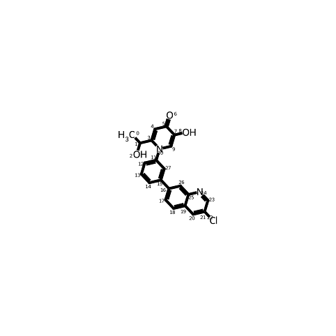 CC(O)c1cc(=O)c(O)cn1-c1cccc(-c2ccc3cc(Cl)cnc3c2)c1